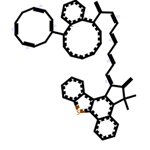 C=C(\C=C/C=C/C=C/C=C1\C(=C)C(C)(C)c2c1c1c3ccccc3sc1c1ccccc21)c1ccccccc(/C2=C/C=C\C/C=C\C=C/C2)c2ccccc12